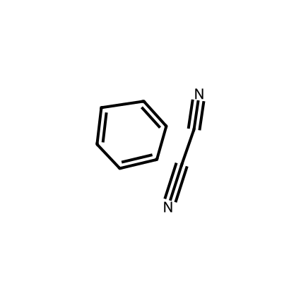 N#CC#N.c1ccccc1